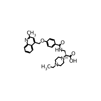 CCN1CCN([C@@H](CNC(=O)c2ccc(OCc3cc(C)nc4ccccc34)cc2)C(=O)O)CC1